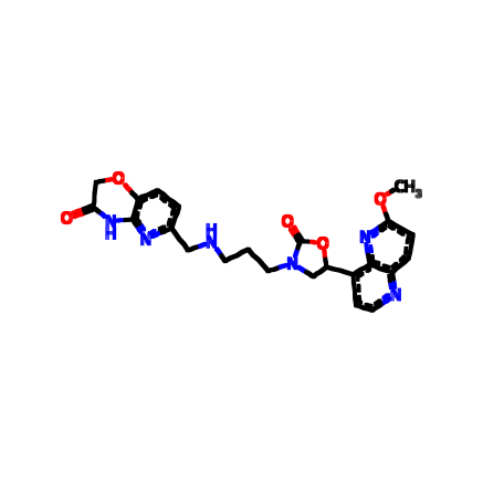 COc1ccc2nccc(C3CN(CCCNCc4ccc5c(n4)NC(=O)CO5)C(=O)O3)c2n1